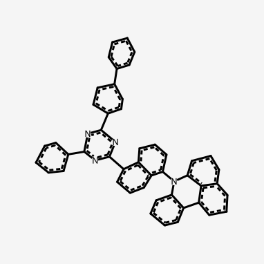 c1ccc(-c2ccc(-c3nc(-c4ccccc4)nc(-c4cccc5c(N6c7ccccc7-c7cccc8cccc6c78)cccc45)n3)cc2)cc1